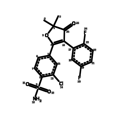 CC1(C)OC(c2ccc(S(N)(=O)=O)c(Cl)c2)=C(c2cc(F)ccc2F)C1=O